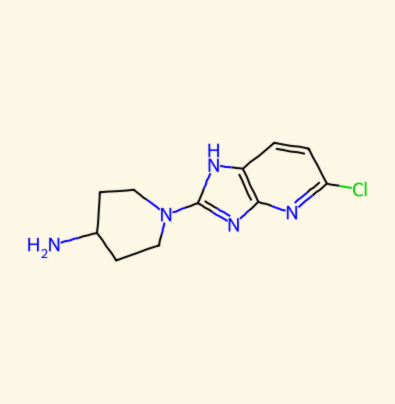 NC1CCN(c2nc3nc(Cl)ccc3[nH]2)CC1